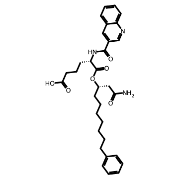 NC(=O)C[C@H](CCCCCCCc1ccccc1)OC(=O)[C@H](CCCC(=O)O)NC(=O)c1cnc2ccccc2c1